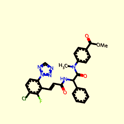 COC(=O)c1ccc(N(C)C(=O)C(NC(=O)C=Cc2c(-n3ncnn3)ccc(Cl)c2F)c2ccccc2)cc1